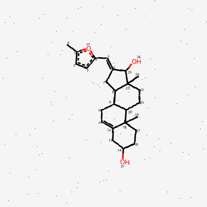 Cc1ccc(/C=C2\CC3C4CC=C5CC(O)CCC5(C)C4CCC3(C)C2O)o1